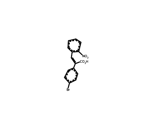 O=C(O)C(=Cc1ccccc1[N+](=O)[O-])c1ccc(Br)cc1